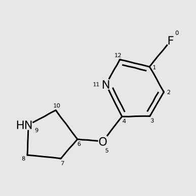 Fc1ccc(OC2CCNC2)nc1